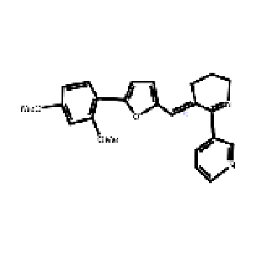 COc1ccc(-c2ccc(/C=C3\CCCN=C3c3cccnc3)o2)c(OC)c1